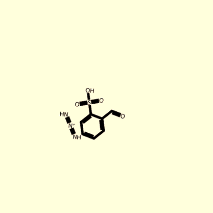 N=[N+]=N.O=Cc1ccccc1S(=O)(=O)O